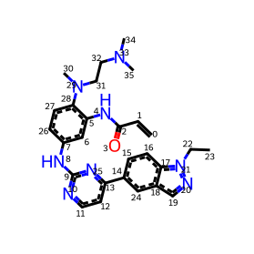 C=CC(=O)Nc1cc(Nc2nccc(-c3ccc4c(cnn4CC)c3)n2)ccc1N(C)CCN(C)C